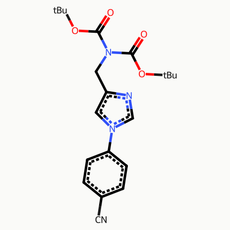 CC(C)(C)OC(=O)N(Cc1cn(-c2ccc(C#N)cc2)cn1)C(=O)OC(C)(C)C